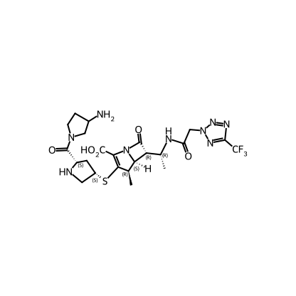 C[C@@H](NC(=O)Cn1nnc(C(F)(F)F)n1)[C@H]1C(=O)N2C(C(=O)O)=C(S[C@@H]3CN[C@H](C(=O)N4CCC(N)C4)C3)[C@H](C)[C@H]12